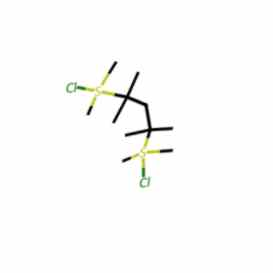 CC(C)(CC(C)(C)S(C)(C)Cl)S(C)(C)Cl